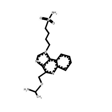 CC(N)OCc1nc2ccccc2c2c1ncn2CCCCS(N)(=O)=O